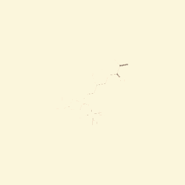 C=C(C)C(=O)OCC(CO[Si](C)(O[Si](CC)(CC)CC)O[Si](CC)(CC)CC)OCCC